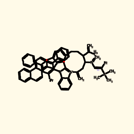 C=C(C)C1CCc2ccc3c(oc4c3ccc3c5ccccc5ccc34)c2-c2n(-c3c(-c4ccccc4)cc(-c4ccccc4)cc3C(C)C)c3ccccc3[n+]2C(=C)CC1[N+](=C)/C=C(\CC)[Si](C)(C)C